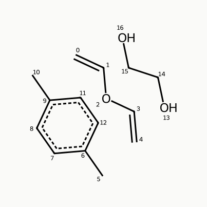 C=COC=C.Cc1ccc(C)cc1.OCCO